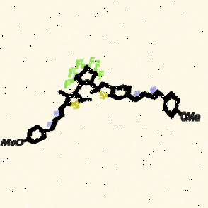 COc1ccc(/C=C/C=C/c2ccc3c(c2)SC(C)(C2=C(c4c(C)sc(/C=C/C=C/c5ccc(OC)cc5)c4C)C(F)(F)C(F)(F)C2(F)F)C3)cc1